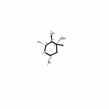 CO[C@]1(C)C[C@H](C(C)C)O[C@H](C)[C@H]1O